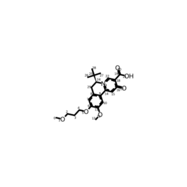 COCCCOc1cc2c(cc1OC)-c1cc(=O)c(C(=O)O)cn1[C@H](C(C)(C)C)C2